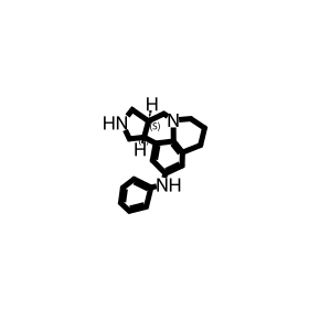 c1ccc(Nc2cc3c4c(c2)[C@H]2CNC[C@H]2CN4CCC3)cc1